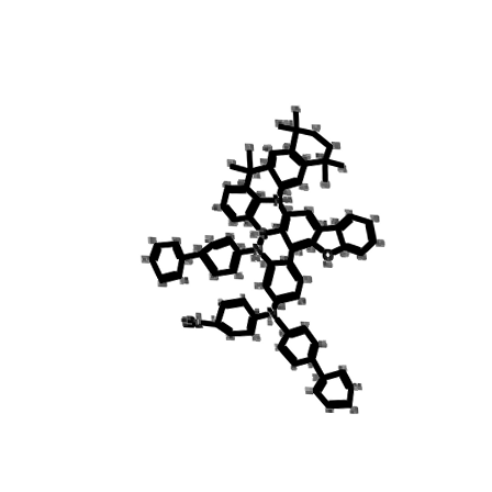 CC(C)(C)c1ccc(N(c2ccc(-c3ccccc3)cc2)c2ccc3c(c2)N(c2ccc(-c4ccccc4)cc2)B2c4cccc5c4N(c4cc6c(cc4C5(C)C)C(C)(C)CCC6(C)C)c4cc5c(oc6ccccc65)c-3c42)cc1